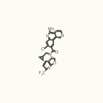 Nc1nc2cc(Cl)c(C(=O)N(CC3CC3)[C@@H]3COc4nc(C(F)(F)F)ccc43)cc2c2cnccc12